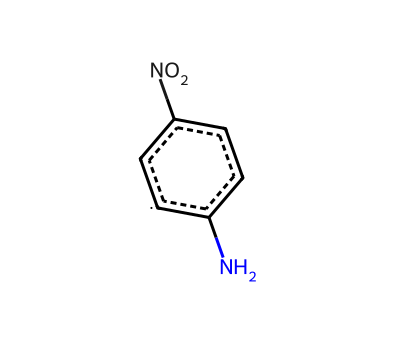 Nc1[c]cc([N+](=O)[O-])cc1